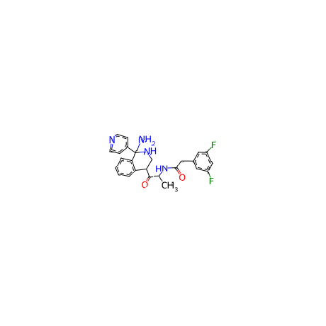 CC(NC(=O)Cc1cc(F)cc(F)c1)C(=O)C1CNC(N)(c2ccncc2)c2ccccc21